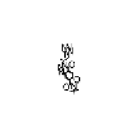 CC(Cn1cnnn1)n1nnc2cc3c(cc2c1=O)OCN(C(C)(C)C)C3=O